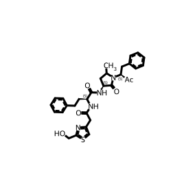 CC(=O)[C@H](Cc1ccccc1)N1C(=O)[C@@H](NC(=O)[C@H](CCc2ccccc2)NC(=O)Cc2csc(CO)n2)CC1C